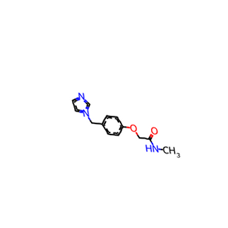 CNC(=O)COc1ccc(Cn2ccnc2)cc1